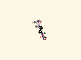 CCCCN(CCCC)C(=O)O/N=C(\C#N)c1cccc(-c2cccc(/C(C#N)=N/OC(=O)N3CCOCC3)c2)c1